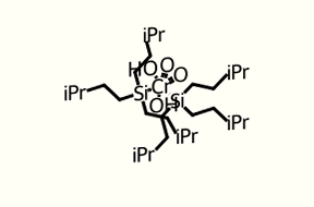 CC(C)CC[Si](CCC(C)C)(CCC(C)C)[Cr](=[O])(=[O])([OH])([OH])[Si](CCC(C)C)(CCC(C)C)CCC(C)C